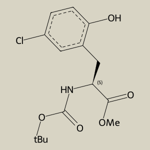 COC(=O)[C@H](Cc1cc(Cl)ccc1O)NC(=O)OC(C)(C)C